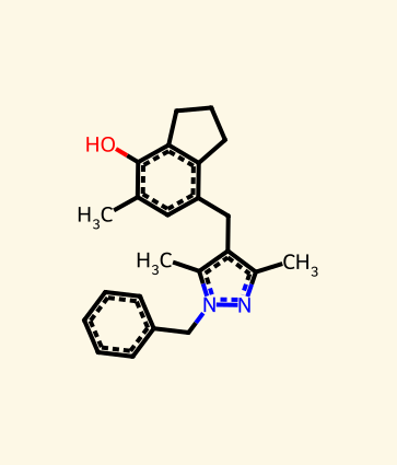 Cc1cc(Cc2c(C)nn(Cc3ccccc3)c2C)c2c(c1O)CCC2